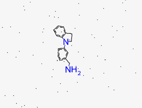 NCc1[c]ccc(N2CCc3ccccc32)c1